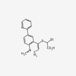 C=Nc1ccc(-c2ccccn2)cc1/C(=C\C)SC(CC)C(=O)O